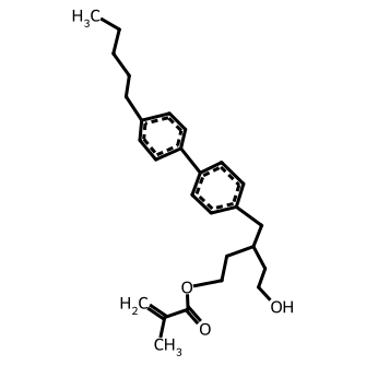 C=C(C)C(=O)OCCC(CCO)Cc1ccc(-c2ccc(CCCCC)cc2)cc1